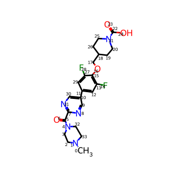 CN1CCN(C(=O)c2ncc(-c3cc(F)c(OCC4CCN(C(=O)O)CC4)c(F)c3)cn2)CC1